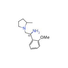 COc1ccccc1[C@H](N)CN1CCCC1C